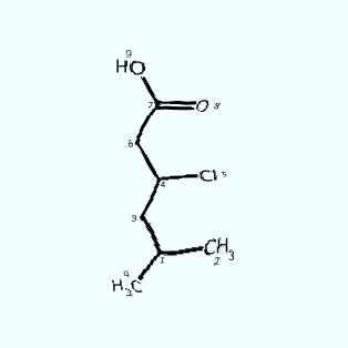 CC(C)CC(Cl)CC(=O)O